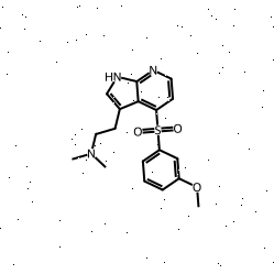 COc1cccc(S(=O)(=O)c2ccnc3[nH]cc(CCN(C)C)c23)c1